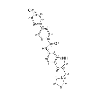 O=C(Nc1ccc2c(c1)NCC(CN1CCCC1)O2)c1ccc(-c2ccc(Cl)cc2)cc1